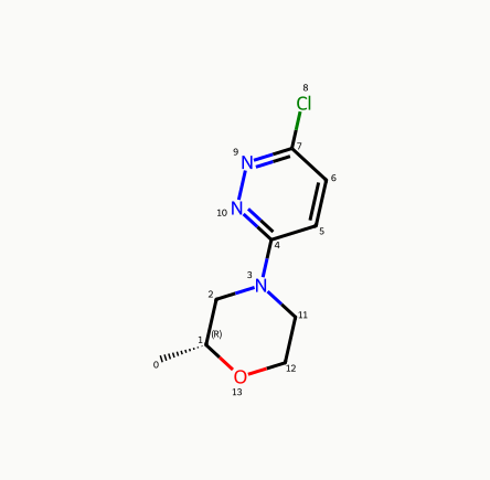 C[C@@H]1CN(c2ccc(Cl)nn2)CCO1